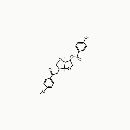 COc1ccc(C(=O)CC2CO[C@@]3(C)C(OC(=O)c4ccc(OC)cc4)CO[C@@]23C)cc1